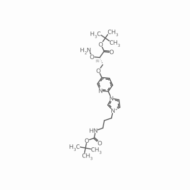 CC(C)(C)OC(=O)NCCC[n+]1ccn(-c2ccc(OC[C@H](ON)C(=O)OC(C)(C)C)cn2)c1